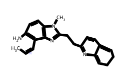 C/C=C\c1c(N)ccc2c1nc(CCc1ccc3c(n1)=CCCC=3)n2C